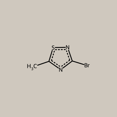 Cc1nc(Br)ns1